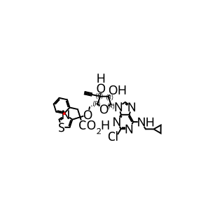 C#C[C@@]1(O)[C@@H](COC(Cc2ccccc2)(C(=O)O)c2cscn2)O[C@@H](n2cnc3c(NCC4CC4)nc(Cl)nc32)[C@@H]1O